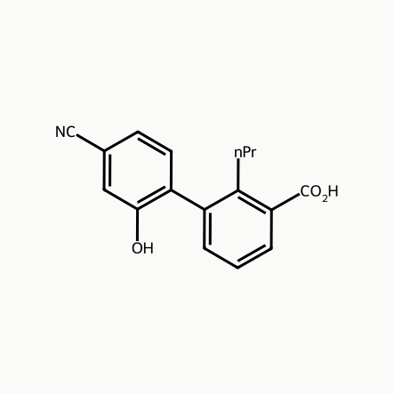 CCCc1c(C(=O)O)cccc1-c1ccc(C#N)cc1O